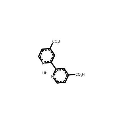 O=C(O)c1ccnc(-c2cc(C(=O)O)ccn2)c1.[LiH]